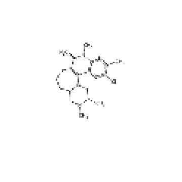 C=C1C2=C(c3cc(Cl)c(C)nc3N1C)N1CC(C)N(C)CC1CCO2